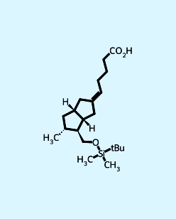 C[C@@H]1C[C@@H]2C/C(=C\CCCC(=O)O)C[C@@H]2[C@H]1CO[Si](C)(C)C(C)(C)C